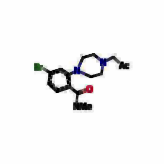 CNC(=O)c1ccc(Br)cc1N1CCN(CC(C)=O)CC1